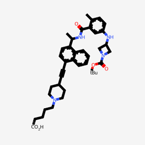 Cc1ccc(NC2CN(C(=O)OC(C)(C)C)C2)cc1C(=O)NC(C)c1ccc(C#CC2CCN(CCCCC(=O)O)CC2)c2ccccc12